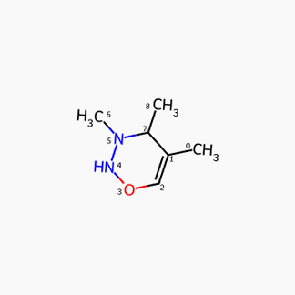 CC1=CONN(C)C1C